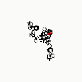 C[C@@H](OCC12CCC(CC1)OC2)[C@@H](COC1CCN(C(=O)OC(C)(C)C)CC1)NC(=O)[C@@H]1CN(C(=O)c2cnn(Cc3ccccc3C(=O)OC(C)(C)C)c2)CC12CN(C(=O)C1(C(F)(F)F)CC1)C2